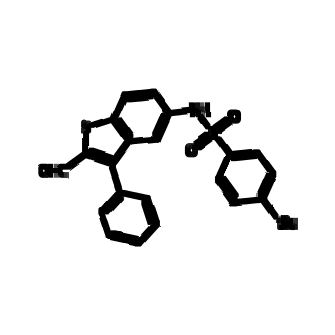 CC(C)(C)c1ccc(S(=O)(=O)Nc2ccc3sc(C=O)c(-c4ccccc4)c3c2)cc1